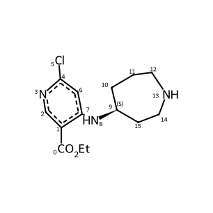 CCOC(=O)c1cnc(Cl)cc1N[C@H]1CCCNCC1